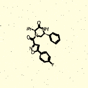 CC(C)[C@H]1C(=O)N[C@@H](c2ccccc2)CN1C(=O)c1cc(-c2ccc(F)cc2)on1